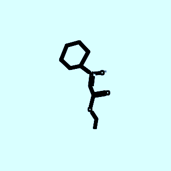 CCOC(=O)C=[N+]([O-])C1CCCCC1